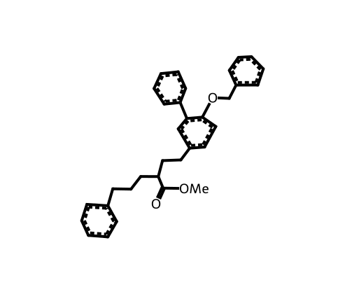 COC(=O)C(CCCc1ccccc1)CCc1ccc(OCc2ccccc2)c(-c2ccccc2)c1